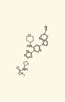 CC(=O)N[C@H]1C[C@H](c2nnc(-c3cnc(-c4ccc5cc(C#N)cnn45)cc3NC3CCOCC3)s2)C1